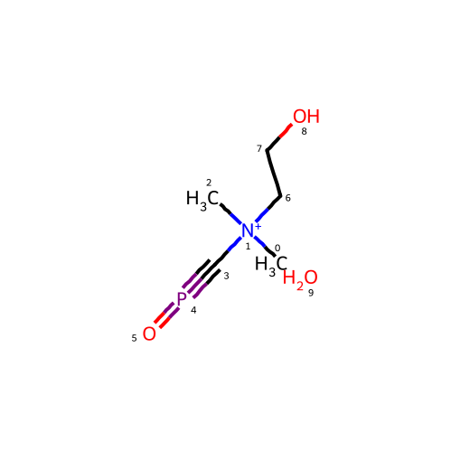 C[N+](C)(C#P=O)CCO.O